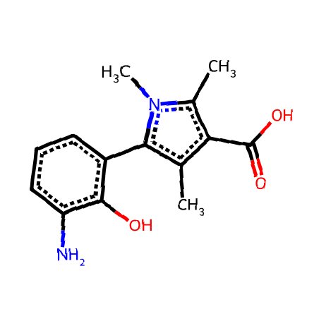 Cc1c(C(=O)O)c(C)n(C)c1-c1cccc(N)c1O